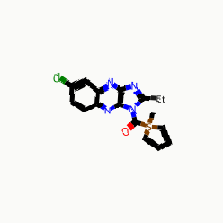 CCc1nc2nc3cc(Cl)ccc3nc2n1C(=O)S1(C)C=CC=C1